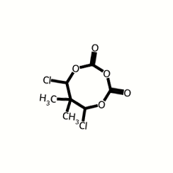 CC1(C)C(Cl)OC(=O)OC(=O)OC1Cl